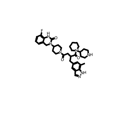 Cc1cc(CC(CC(=O)N2CCC(N3Cc4cccc(F)c4NC3=O)CC2)C(=O)[N+]2(C3CCNCC3)CCCCC2)cc2cn[nH]c12